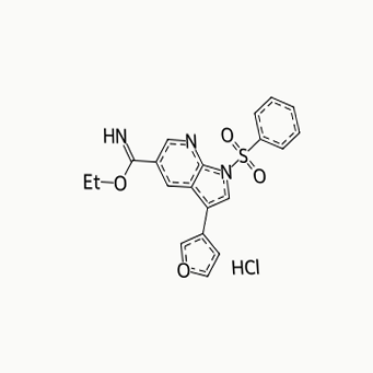 CCOC(=N)c1cnc2c(c1)c(-c1ccoc1)cn2S(=O)(=O)c1ccccc1.Cl